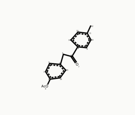 CC(=O)Oc1ccc(CC(=O)c2ccc(C)cc2)cc1